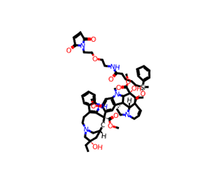 CC[C@]1(O)C[C@@H]2CN(CCc3c([nH]c4ccccc34)[C@@](C(=O)OC)(c3cc4c(cc3OC)N(C)C3[C@]45CCN4CC=C[C@@](CC)([C@@H](O[Si](C)(CCCCC(=O)NCCOCCN6C(=O)C=CC6=O)c6ccccc6)[C@]3(O)C(=O)OC)[C@H]45)C2)C1